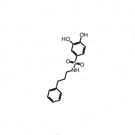 O=S(=O)(NCCCc1ccccc1)c1ccc(O)c(O)c1